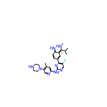 CN/C(=C1/C=C(c2nc(Nc3cc(C)c(N4CCNCC4)cn3)ncc2F)C=CC1=N)C(C)C